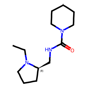 CCN1CCC[C@@H]1CNC(=O)N1CC[CH]CC1